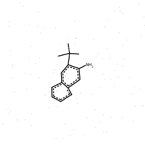 CC(C)(C)c1cc2ccccc2cc1N